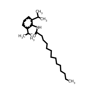 CCCCCCCCCCCCCC(=O)Nc1c(C(C)C)cccc1C(C)C